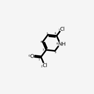 O=C(Cl)C1=CC=C(Cl)NC1